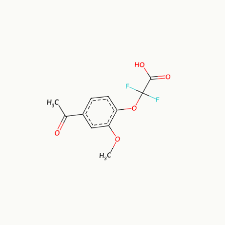 COc1cc(C(C)=O)ccc1OC(F)(F)C(=O)O